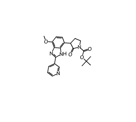 COc1ccc(C2CCN(C(=O)OC(C)(C)C)C2=O)c2[nH]c(-c3cccnc3)nc12